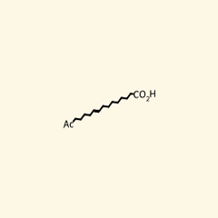 CC(=O)CCCCC=CCCCCCCCC(=O)O